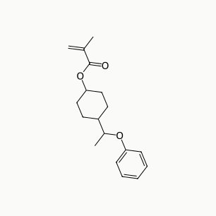 C=C(C)C(=O)OC1CCC(C(C)Oc2ccccc2)CC1